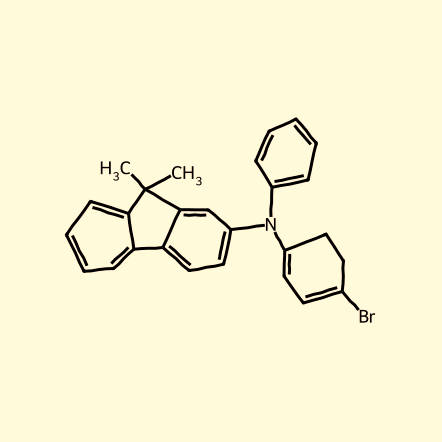 CC1(C)c2ccccc2-c2ccc(N(C3=CC=C(Br)CC3)c3ccccc3)cc21